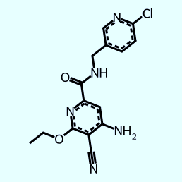 CCOc1nc(C(=O)NCc2ccc(Cl)nc2)cc(N)c1C#N